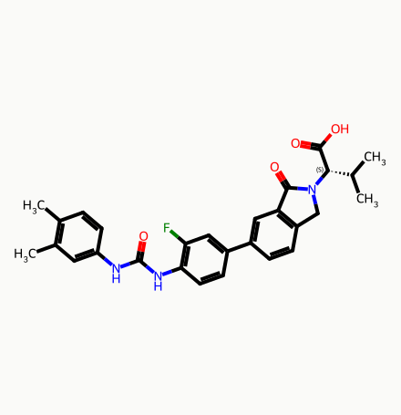 Cc1ccc(NC(=O)Nc2ccc(-c3ccc4c(c3)C(=O)N([C@H](C(=O)O)C(C)C)C4)cc2F)cc1C